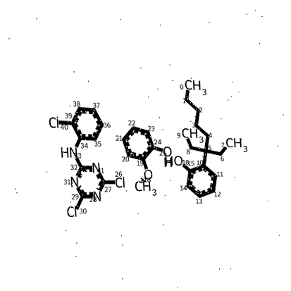 CCCCCC(CC)(CC)c1ccccc1O.COc1ccccc1O.Clc1nc(Cl)nc(Nc2ccccc2Cl)n1